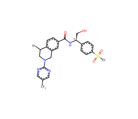 CCC1CN(c2ncc(C(F)(F)F)cn2)Cc2cc(C(=O)N[C@@H](CO)c3ccc(S(=O)(=O)CC)cc3)ccc21